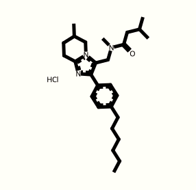 CCCCCCc1ccc(-c2nc3n(c2CN(C)C(=O)CC(C)C)CC(C)CC3)cc1.Cl